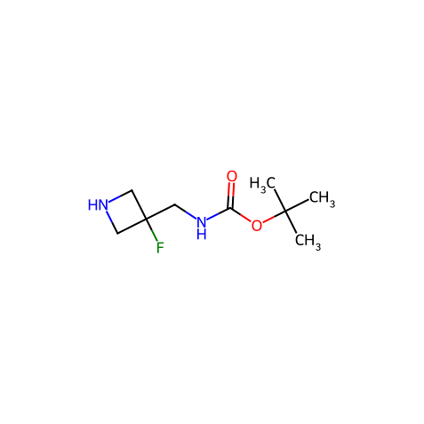 CC(C)(C)OC(=O)NCC1(F)CNC1